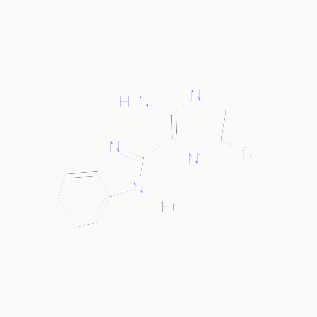 CCn1c(-c2nc(Br)cnc2N)nc2ccccc21